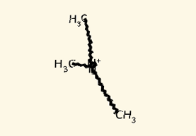 CCCCCCCCCCCCCCCCCCn1cc[n+](CCCCCCCCCCCCCCCCC)c1CCCCCC